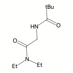 CCN(CC)C(=O)CNC(=O)C(C)(C)C